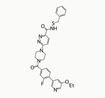 CCOc1cncc(-c2ccc(C(=O)N3CCN(c4ccc(C(=O)NSCc5ccccc5)nn4)CC3)cc2F)c1